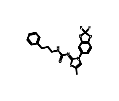 Cc1cn(-c2ccc3c(c2)OC(F)(F)O3)c(=NC(=O)NCCCc2ccccc2)s1